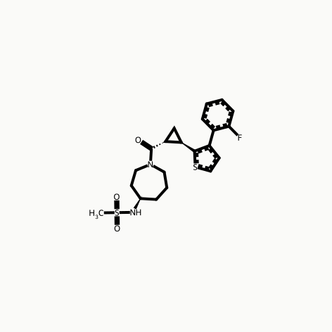 CS(=O)(=O)N[C@@H]1CCCN(C(=O)[C@@H]2C[C@H]2c2sccc2-c2ccccc2F)CC1